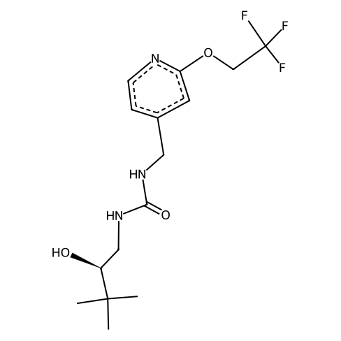 CC(C)(C)[C@@H](O)CNC(=O)NCc1ccnc(OCC(F)(F)F)c1